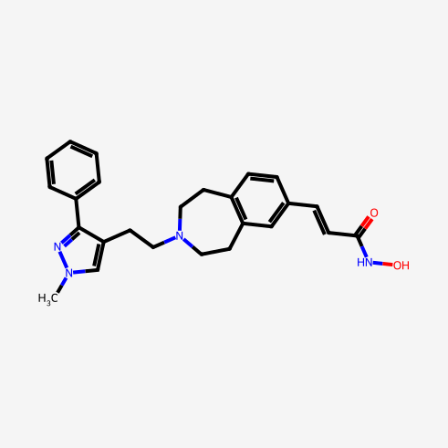 Cn1cc(CCN2CCc3ccc(C=CC(=O)NO)cc3CC2)c(-c2ccccc2)n1